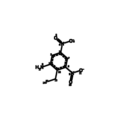 Nc1cc([N+](=O)[O-])cc([N+](=O)[O-])c1CF